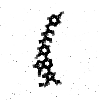 Cc1nc(-c2ccc(-c3ccc(NC(=O)NC(=O)Cc4ccc(F)cc4)cc3F)c3c2C(=O)NC3)[nH]c1C(=O)O